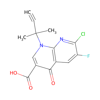 C#CC(C)(C)n1cc(C(=O)O)c(=O)c2cc(F)c(Cl)nc21